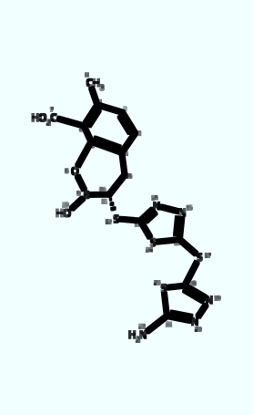 Cc1ccc2c(c1C(=O)O)OB(O)[C@@H](Sc1nnc(Sc3nnc(N)s3)s1)C2